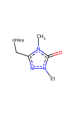 CCCCCCCc1nn(CC)c(=O)n1C